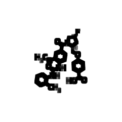 COc1cc(C(=O)N2C[C@@H](F)C[C@H]2COc2ccc(C(=O)O)cc2)ccc1NC(=O)Nc1ccccc1C